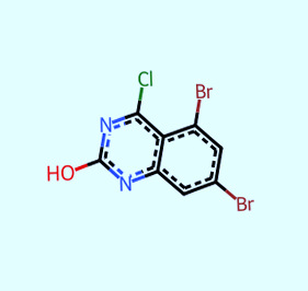 Oc1nc(Cl)c2c(Br)cc(Br)cc2n1